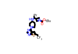 CC(C)C(NC1CCCN(c2ncnc3sc(CC(F)(F)F)cc23)CC1)C1CN(C(=O)OC(C)(C)C)C1